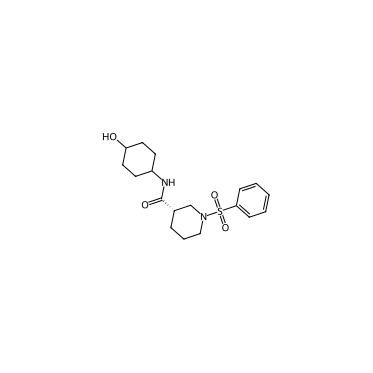 O=C(NC1CCC(O)CC1)[C@H]1CCCN(S(=O)(=O)c2ccccc2)C1